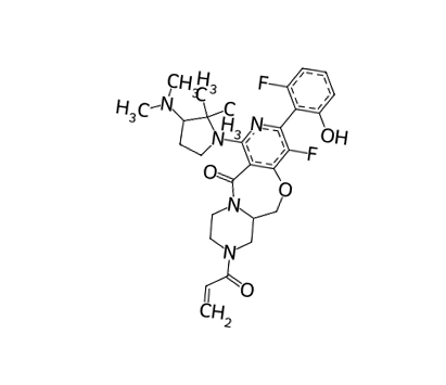 C=CC(=O)N1CCN2C(=O)c3c(N4CCC(N(C)C)C4(C)C)nc(-c4c(O)cccc4F)c(F)c3OCC2C1